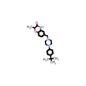 CC1Oc2ccc(CN3CCN(c4ccc(C(C)(C)C)cc4)CC3)cc2NC1=O